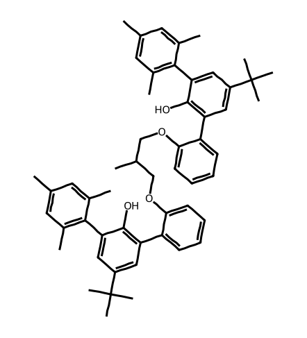 Cc1cc(C)c(-c2cc(C(C)(C)C)cc(-c3ccccc3OCC(C)COc3ccccc3-c3cc(C(C)(C)C)cc(-c4c(C)cc(C)cc4C)c3O)c2O)c(C)c1